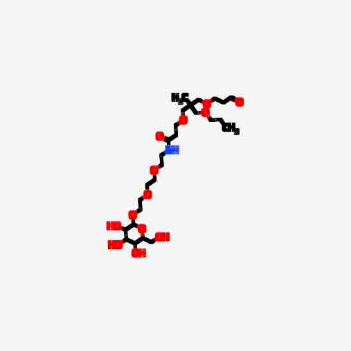 CCCOCC(C)(COCCC=O)COCCC(=O)NCCOCCOCCOC1OC(CO)C(O)C(O)C1O